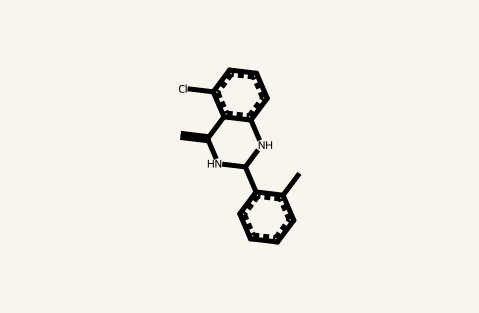 C=C1NC(c2ccccc2C)Nc2cccc(Cl)c21